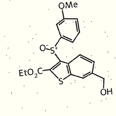 CCOC(=O)c1sc2cc(CO)ccc2c1[S+]([O-])c1cccc(OC)c1